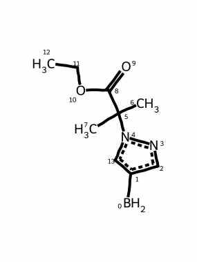 Bc1cnn(C(C)(C)C(=O)OCC)c1